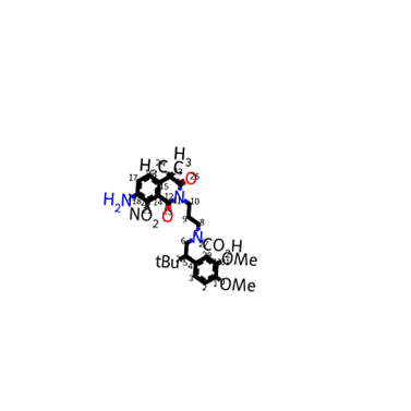 COc1ccc(C(CN(CCCN2C(=O)c3c(ccc(N)c3[N+](=O)[O-])C(C)(C)C2=O)C(=O)O)C(C)(C)C)cc1OC